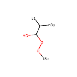 CCCCC(CC)C(O)OOC(C)(C)C